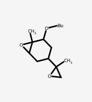 CCC(C)OC1CC(C2(C)CO2)CC2OC12C